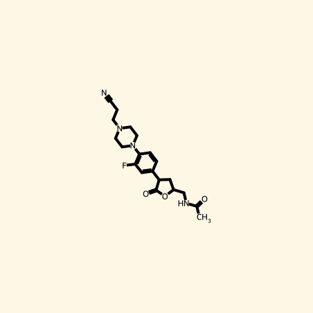 CC(=O)NCC1CC(c2ccc(N3CCN(CCC#N)CC3)c(F)c2)C(=O)O1